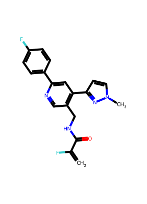 C=C(F)C(=O)NCc1cnc(-c2ccc(F)cc2)cc1-c1ccn(C)n1